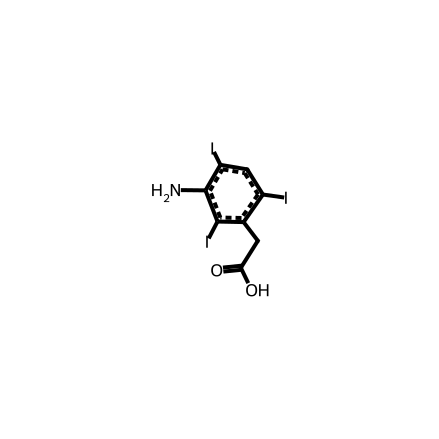 Nc1c(I)cc(I)c(CC(=O)O)c1I